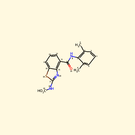 Cc1cccc(C)c1NC(=O)c1cccc2sc(NC(=O)O)nc12